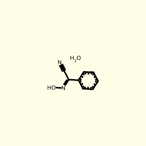 N#CC(=NO)c1ccccc1.O